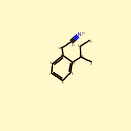 CCC(C)c1ccccc1CC#N